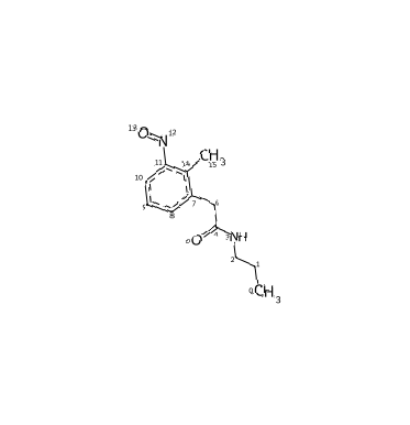 CCCNC(=O)Cc1cccc(N=O)c1C